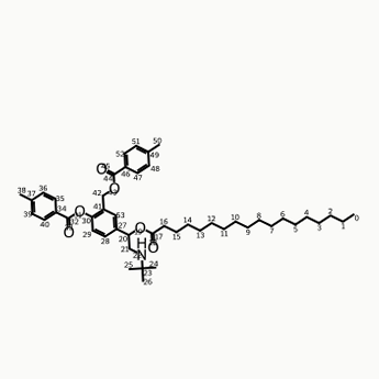 CCCCCCCCCCCCCCCCCC(=O)OC(CNC(C)(C)C)c1ccc(OC(=O)c2ccc(C)cc2)c(COC(=O)c2ccc(C)cc2)c1